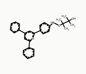 CC(C)(O)C(C)(C)OBc1ccc(-c2cc(-c3ccccc3)cc(-c3ccccc3)n2)cc1